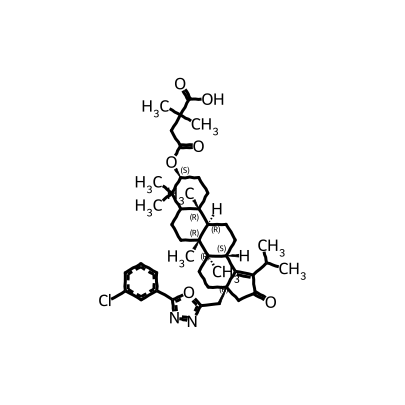 CC(C)C1=C2[C@H]3CC[C@@H]4[C@@]5(C)CC[C@H](OC(=O)CC(C)(C)C(=O)O)C(C)(C)C5CC[C@@]4(C)[C@]3(C)CC[C@@]2(Cc2nnc(-c3cccc(Cl)c3)o2)CC1=O